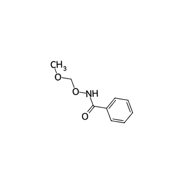 COCONC(=O)c1ccccc1